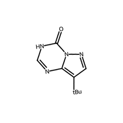 CC(C)(C)c1cnn2c(=O)[nH]cnc12